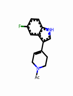 CC(=O)N1CC=C(c2c[nH]c3ccc(F)cc23)CC1